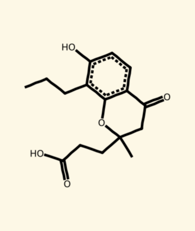 CCCc1c(O)ccc2c1OC(C)(CCC(=O)O)CC2=O